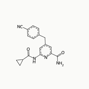 N#Cc1ccc(Cc2cc(NC(=O)C3CC3)nc(C(N)=O)c2)cc1